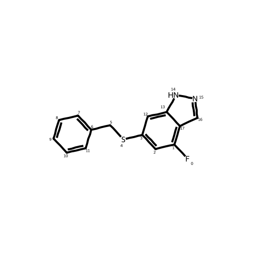 Fc1cc(SCc2ccccc2)cc2[nH]ncc12